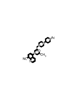 CC(=O)N1CCC(N2CCN(C[C@@H]3CN(c4ccc(C#N)c5ncccc45)C[C@@H](C)O3)CC2)CC1